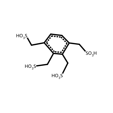 O=S(=O)(O)Cc1ccc(CS(=O)(=O)O)c(CS(=O)(=O)O)c1CS(=O)(=O)O